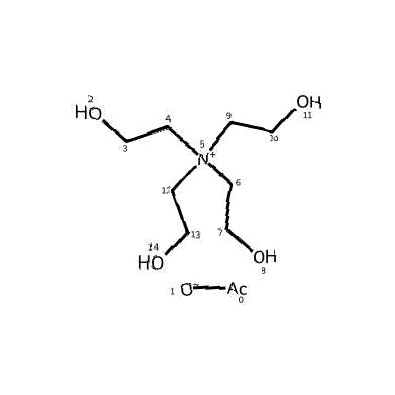 CC(=O)[O-].OCC[N+](CCO)(CCO)CCO